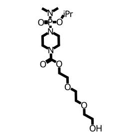 CC(C)OP(=O)(N(C)C)N1CCN(C(=O)OCCOCCOCCO)CC1